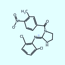 Cc1cc(C(=O)N2CCN/C2=N\c2c(Cl)cccc2Cl)ccc1[N+](=O)[O-]